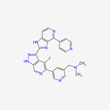 CN(C)Cc1cncc(-c2ncc3[nH]nc(-c4nc5c(-c6ccncc6)nccc5[nH]4)c3c2F)c1